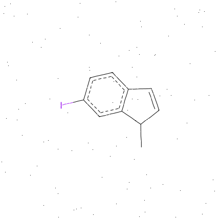 CC1C=Cc2ccc(I)cc21